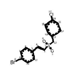 O=S(=O)(C=Cc1ccc(Br)cc1)Cc1ccc(Cl)cc1